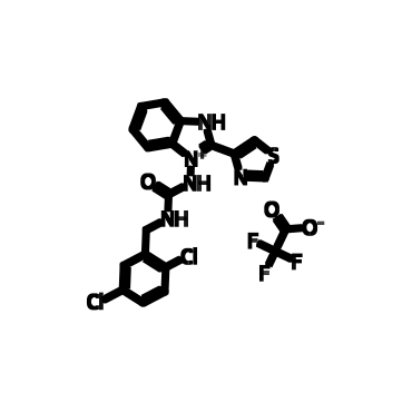 O=C(NCc1cc(Cl)ccc1Cl)N[n+]1c(-c2cscn2)[nH]c2ccccc21.O=C([O-])C(F)(F)F